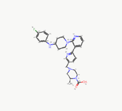 C[C@H]1CN(Cc2ccc(-c3cccnc3N3CCC(Nc4ccc(F)cc4)CC3)nc2)CCN1C(=O)O